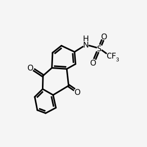 O=C1c2ccccc2C(=O)c2cc(NS(=O)(=O)C(F)(F)F)ccc21